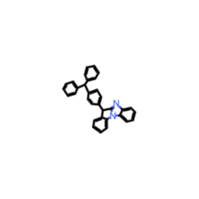 c1ccc(C(c2ccccc2)c2ccc(C3c4ccccc4-n4c3nc3ccccc34)cc2)cc1